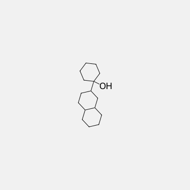 OC1(C2CCC3CCCCC3C2)CCCCC1